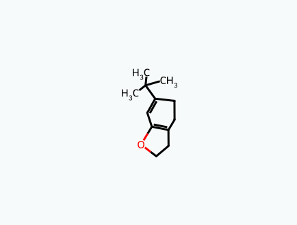 CC(C)(C)C1=CC2=C(CCO2)CC1